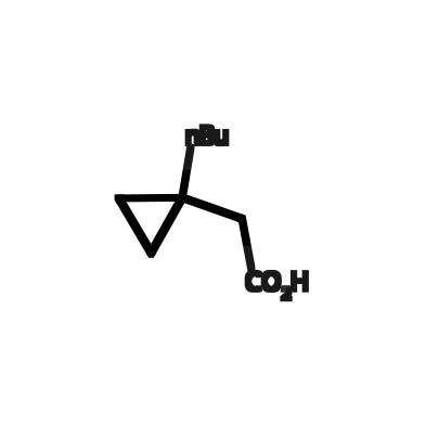 CCCCC1(CC(=O)O)CC1